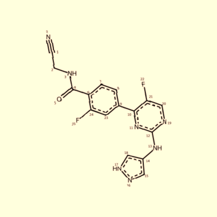 N#CCNC(=O)c1ccc(-c2nc(Nc3cn[nH]c3)ncc2F)cc1F